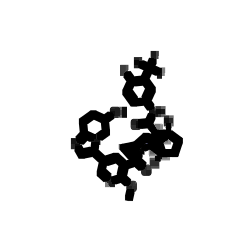 COc1ncc(-c2cnc3n2CC(O)CC3)cc1C(=O)N[C@H]1[C@@H](C(=O)Nc2ccc(F)c(C(F)(F)F)c2)[C@H]2CC[C@@H]1/C2=C\C1CC1